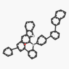 c1ccc(-c2cccc(-c3ccccc3N(c3ccc(-c4cccc(-c5ccc6ccccc6c5)c4)cc3)c3cccc4c3oc3ccccc34)c2)cc1